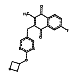 CC1=C(Cc2cnc(OC3COC3)nc2)C(=O)c2cc(F)ccc2C1=O